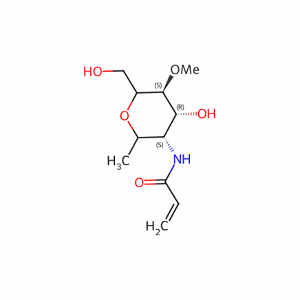 C=CC(=O)N[C@@H]1C(C)OC(CO)[C@@H](OC)[C@@H]1O